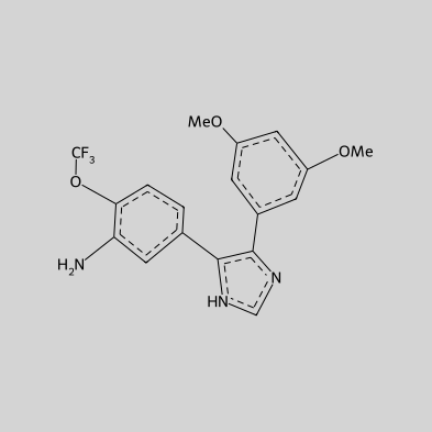 COc1cc(OC)cc(-c2nc[nH]c2-c2ccc(OC(F)(F)F)c(N)c2)c1